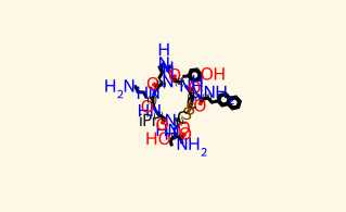 CC(C)[C@@H]1NC(=O)[C@H](CCCCN)NC(=O)[C@@H](Cc2c[nH]cn2)NC(=O)[C@H](Cc2ccc(O)cc2)NC(=O)[C@@H](NC(=O)[C@H](N)Cc2ccc3ccccc3c2)CSSC[C@@H](C(=O)N[C@H](C(N)=O)C(C)O)NC1=O